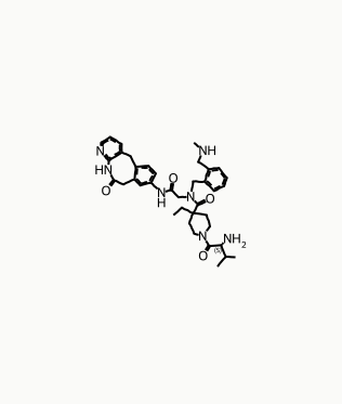 CCC1(C(=O)N(CC(=O)Nc2ccc3c(c2)CC(=O)Nc2ncccc2C3)Cc2ccccc2CNC)CCN(C(=O)[C@@H](N)C(C)C)CC1